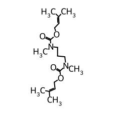 CC(C)=CCOC(=O)N(C)CCCN(C)C(=O)OCC=C(C)C